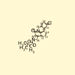 CC(C)(C)OC(=O)N1Cc2c(c3ccccc3n(Cc3ccc(Cl)cc3)c2=O)C1